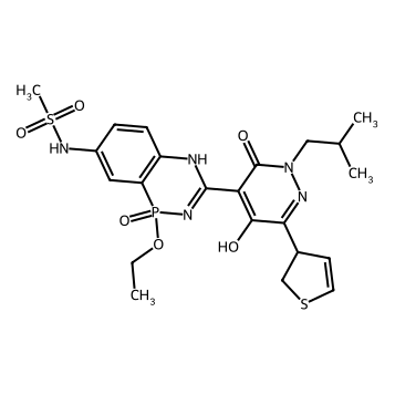 CCOP1(=O)N=C(c2c(O)c(C3C=CSC3)nn(CC(C)C)c2=O)Nc2ccc(NS(C)(=O)=O)cc21